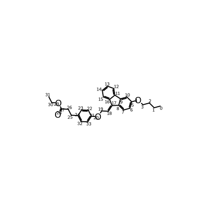 CCCCOc1ccc2c(c1)-c1ccccc1/C2=C\COc1ccc(CCC(=O)OCC)cc1